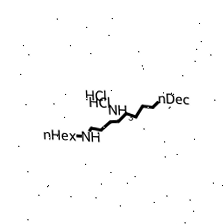 CCCCCCCCCCCCCCCCCCNCCCCCC.Cl.Cl.N